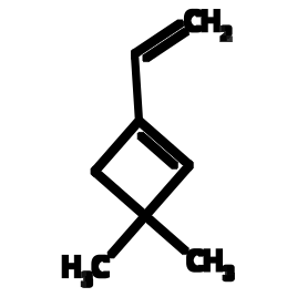 C=CC1=CC(C)(C)C1